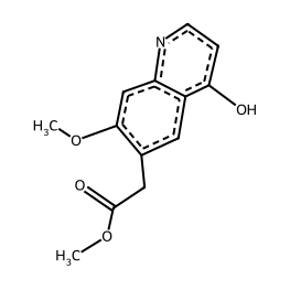 COC(=O)Cc1cc2c(O)ccnc2cc1OC